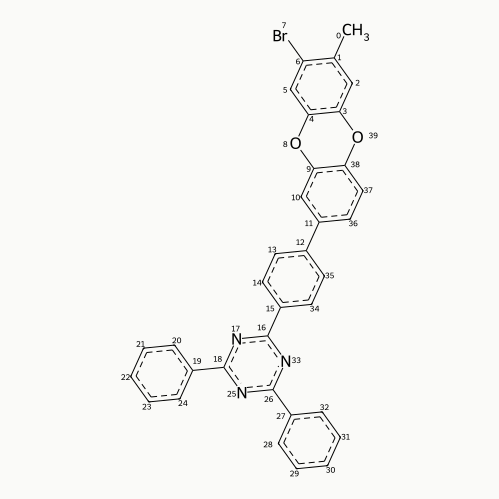 Cc1cc2c(cc1Br)Oc1cc(-c3ccc(-c4nc(-c5ccccc5)nc(-c5ccccc5)n4)cc3)ccc1O2